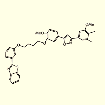 COc1ccc(-c2cc(-c3cc(C)c(C)c(OC)c3)no2)cc1OCCCCOc1cccc(-c2nc3ccccc3s2)c1